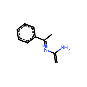 C=C(N)/N=C(\C)c1ccccc1